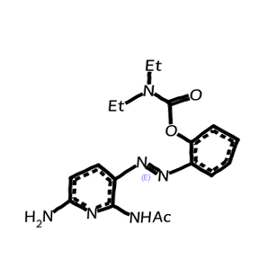 CCN(CC)C(=O)Oc1ccccc1/N=N/c1ccc(N)nc1NC(C)=O